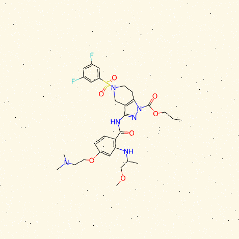 CCCOC(=O)n1nc(NC(=O)c2ccc(OCCN(C)C)cc2NC(C)COC)c2c1CCN(S(=O)(=O)c1cc(F)cc(F)c1)C2